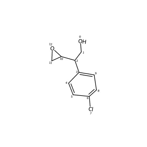 OCC(c1ccc(Cl)cc1)C1CO1